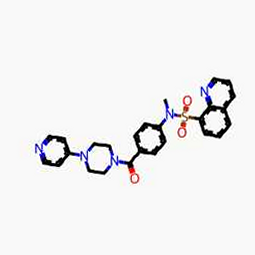 CN(c1ccc(C(=O)N2CCN(c3ccncc3)CC2)cc1)S(=O)(=O)c1cccc2cccnc12